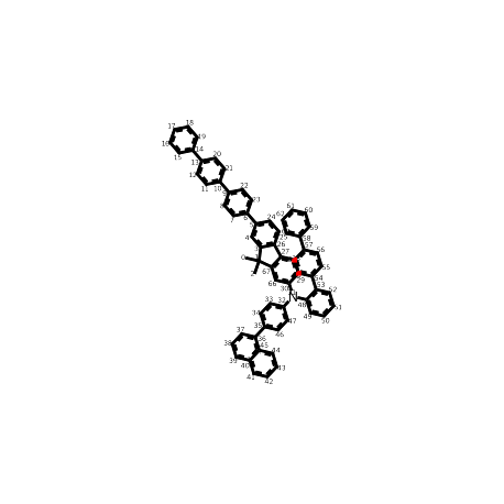 CC1(C)c2cc(-c3ccc(-c4ccc(-c5ccccc5)cc4)cc3)ccc2-c2ccc(N(c3ccc(-c4cccc5ccccc45)cc3)c3ccccc3-c3ccc(-c4ccccc4)cc3)cc21